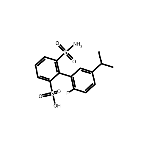 CC(C)c1ccc(F)c(-c2c(S(N)(=O)=O)cccc2S(=O)(=O)O)c1